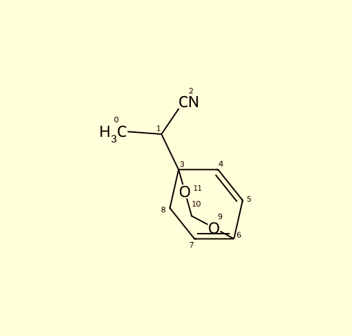 CC(C#N)C12C=CC(=CC1)OCO2